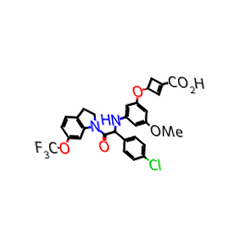 COc1cc(NC(C(=O)N2CCc3ccc(OC(F)(F)F)cc32)c2ccc(Cl)cc2)cc(O[C@@H]2C=C(C(=O)O)C2)c1